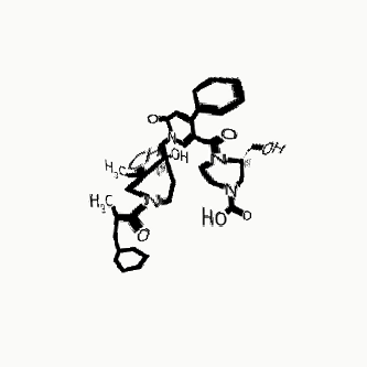 CC(CC1CCCCC1)C(=O)N1CC[C@@](O)(Cn2cc(C(=O)N3CCN(C(=O)O)C[C@H]3CO)c(-c3ccccc3)cc2=O)C(C)(C)C1